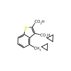 C1CC1.C1CC1.Cc1cccc2sc(C(=O)O)c(C(=O)O)c12